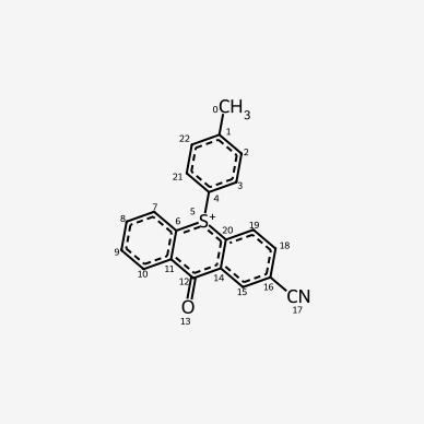 Cc1ccc(-[s+]2c3ccccc3c(=O)c3cc(C#N)ccc32)cc1